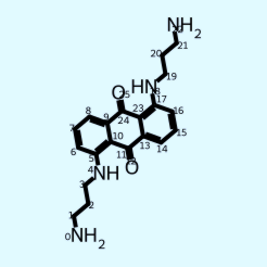 NCCCNc1cccc2c1C(=O)c1cccc(NCCCN)c1C2=O